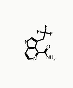 NC(=O)c1nccc2c1C(CC(F)(F)F)=C[N]2